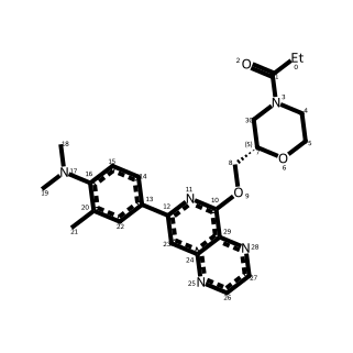 CCC(=O)N1CCO[C@H](COc2nc(-c3ccc(N(C)C)c(C)c3)cc3nccnc23)C1